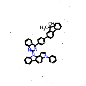 CC1(C)c2ccccc2-c2ccc(-c3ccc(-c4nc(-n5c6ccccc6c6ccc7c(ccn7-c7ccccc7)c65)nc5ccccc45)cc3)cc21